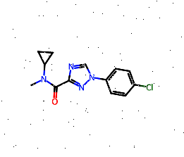 CN(C(=O)c1ncn(-c2ccc(Cl)cc2)n1)C1CC1